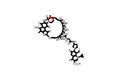 CO[C@H]1/C=C/O[C@@]2(C)Oc3c(C)c(O)c4c(c3C2=O)C(=O)C(N2CCOCC2)=C(NC(=O)/C(C)=C\C=C\[C@H](C)[C@H](O)[C@@H](C)[C@@H](O)[C@@H](C)[C@H](OC(=O)NCC(=O)NC2CCN(c3c(F)cc5c(=O)c(C(=O)O)cn(C6CC6)c5c3CI)C2)[C@@H]1C)C4=O